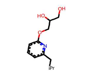 CC(C)Cc1cccc(OCC(O)CO)n1